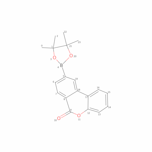 CC1(C)OB(c2ccc3c(=O)oc4ccccc4c3c2)OC1(C)C